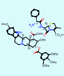 CC1=C(C(=O)O)N2C(=O)[C@@H](NC(=O)[C@H](N)c3ccccc3)[C@H]2SC1.COC(=O)[C@H]1[C@H]2C[C@@H]3c4[nH]c5cc(OC)ccc5c4CCN3C[C@H]2C[C@@H](OC(=O)c2cc(OC)c(OC)c(OC)c2)[C@@H]1OC